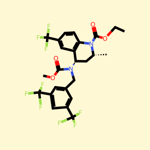 CCOC(=O)N1c2ccc(C(F)(F)F)cc2[C@@H](N(Cc2cc(C(F)(F)F)cc(C(F)(F)F)c2)C(=O)OC)C[C@H]1C